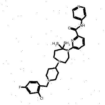 BC1(B)CCN(C2CCN(Cc3ccc(F)cc3Cl)CC2)CCN1c1cccc(C(=O)Nc2ccncc2)n1